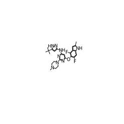 Cc1cc2c(F)c(Oc3cc(Nc4cc(C(C)(C)C)[nH]n4)nc(N4CCN(C)CC4)n3)c(F)cc2[nH]1